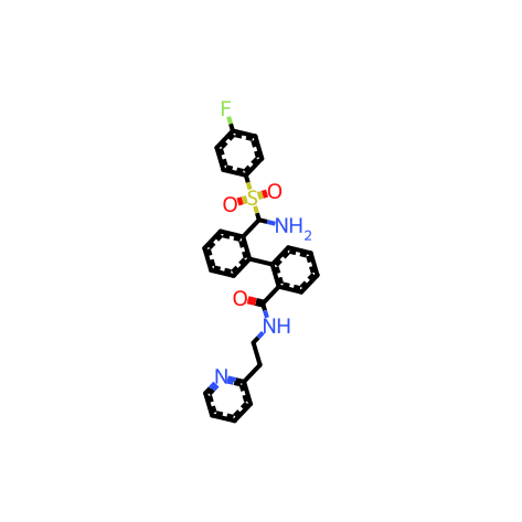 NC(c1ccccc1-c1ccccc1C(=O)NCCc1ccccn1)S(=O)(=O)c1ccc(F)cc1